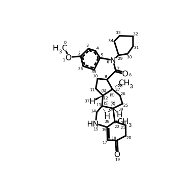 COc1ccc(N(C(=O)C2CC[C@H]3[C@@H]4CNC5=CC(=O)CC[C@]5(C)[C@@H]4CC[C@]23C)C2CCCCC2)cc1